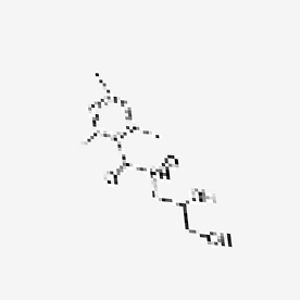 Cc1cc(C)c(C(=O)[PH](=O)CC(O)CO)c(C)c1